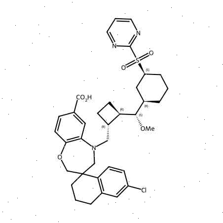 CO[C@@H]([C@@H]1CCC[C@H](S(=O)(=O)c2ncccn2)C1)[C@@H]1CC[C@H]1CN1CC2(CCCc3cc(Cl)ccc32)COc2ccc(C(=O)O)cc21